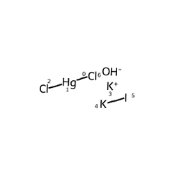 [Cl][Hg][Cl].[K+].[K][I].[OH-]